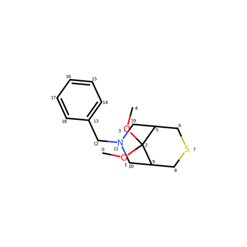 COC1(OC)C2CSCC1CN(Cc1ccccc1)C2